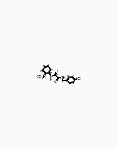 O=C(NCc1ccc(Cl)cc1)C(=O)Nc1ccccc1C(=O)O